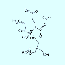 C=CC(=O)OC.NC(CCC(=O)[O-])C(=O)[O-].OCC(CO)(CO)CO.[Ca+2]